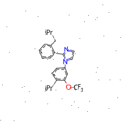 CC(C)Cc1ccccc1-c1nccn1-c1ccc(C(C)C)c(OC(F)(F)F)c1